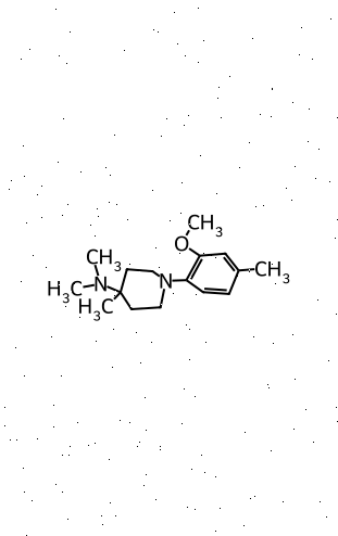 COc1cc(C)ccc1N1CCC(C)(N(C)C)CC1